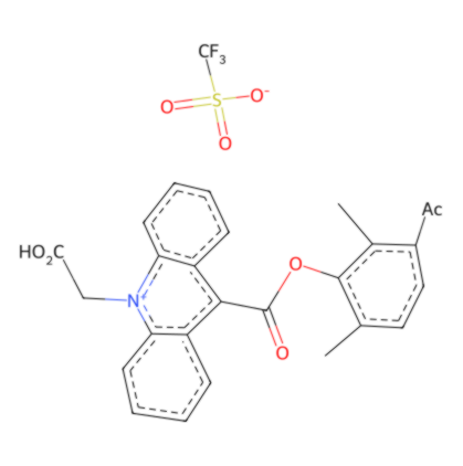 CC(=O)c1ccc(C)c(OC(=O)c2c3ccccc3[n+](CC(=O)O)c3ccccc23)c1C.O=S(=O)([O-])C(F)(F)F